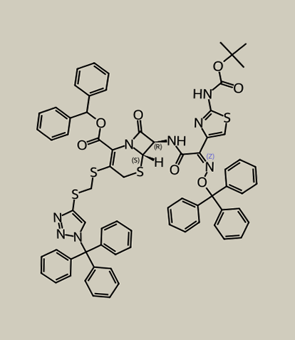 CC(C)(C)OC(=O)Nc1nc(/C(=N/OC(c2ccccc2)(c2ccccc2)c2ccccc2)C(=O)N[C@@H]2C(=O)N3C(C(=O)OC(c4ccccc4)c4ccccc4)=C(SCSc4cn(C(c5ccccc5)(c5ccccc5)c5ccccc5)nn4)CS[C@@H]23)cs1